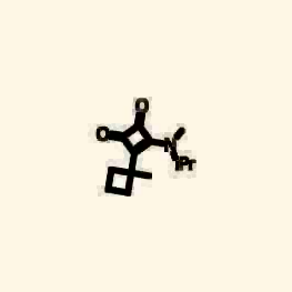 CC(C)N(C)c1c(C2(C)CCC2)c(=O)c1=O